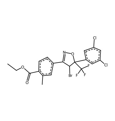 CCOC(=O)c1ccc(C2=NOC(c3cc(Cl)cc(Cl)c3)(C(F)(F)F)C2Br)cc1C